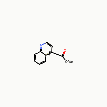 COC(=O)C1=C2C=CN=C3C=CC=CC32SC1